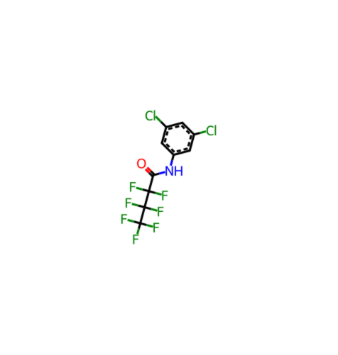 O=C(Nc1cc(Cl)cc(Cl)c1)C(F)(F)C(F)(F)C(F)(F)F